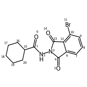 O=C(NN1C(=O)c2cccc(Br)c2C1=O)C1CCCCC1